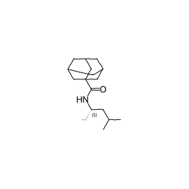 [CH2][C@@H](CC(C)C)NC(=O)C12CC3CC(CC(C3)C1)C2